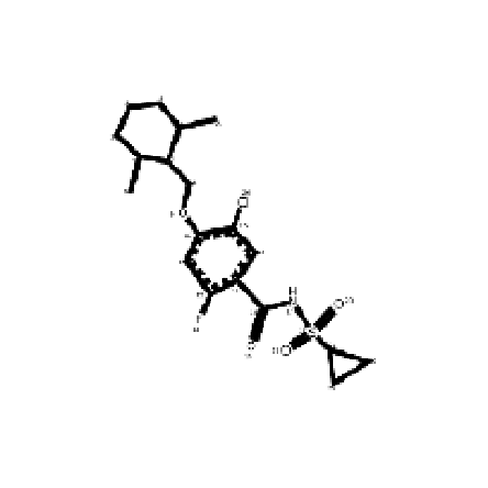 CC1CCCC(C)C1COc1cc(F)c(C(=O)NS(=O)(=O)C2CC2)cc1Cl